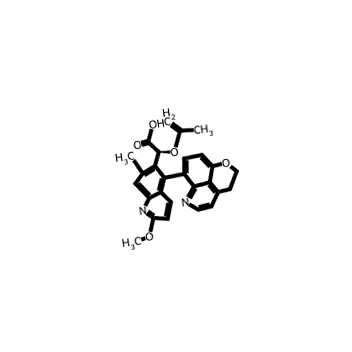 C=C(C)O[C@H](C(=O)O)c1c(C)cc2nc(OC)ccc2c1-c1ccc2c3c(ccnc13)CCO2